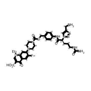 CCn1cc(C(=O)O)c(=O)c2cc(F)c(N3CCN(C(=O)OCc4ccc(NC(=O)[C@H](CCCNC(N)=O)n5cc(CN)nn5)cc4)CC3)cc21